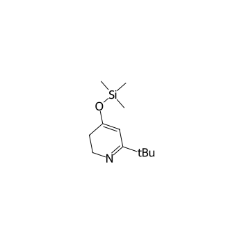 CC(C)(C)C1=NCCC(O[Si](C)(C)C)=C1